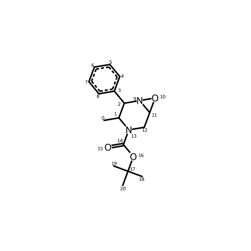 CC1C(c2ccccc2)N2OC2CN1C(=O)OC(C)(C)C